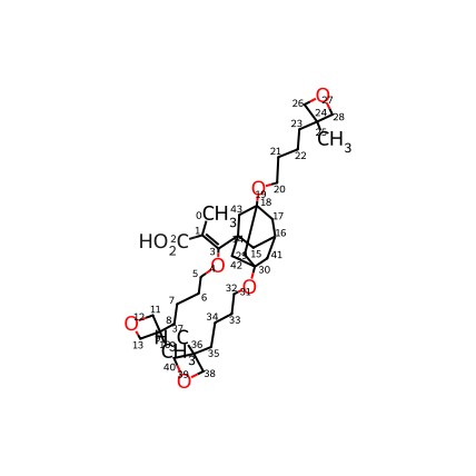 CC(C(=O)O)=C(OCCCCC1(C)COC1)C12CC3CC(OCCCCC4(C)COC4)(CC(OCCCCC4(C)COC4)(C3)C1)C2